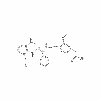 COc1cc(CC(=O)O)ccc1CCN[C@H](c1ccccc1)[C@H]1CNc2cccc(C#N)c2N1